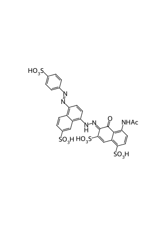 CC(=O)Nc1ccc(S(=O)(=O)O)c2c1C(=O)/C(=N/Nc1ccc(/N=N/c3ccc(S(=O)(=O)O)cc3)c3ccc(S(=O)(=O)O)cc13)C(S(=O)(=O)O)=C2